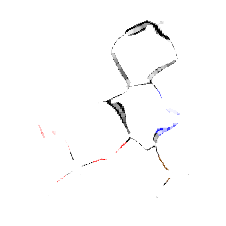 CSc1nc2ccccc2cc1OB(O)O